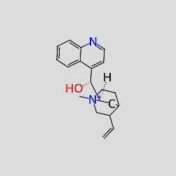 C=CC1C[N+]2(C)CCC1C[C@@H]2[C@H](O)c1ccnc2ccccc12